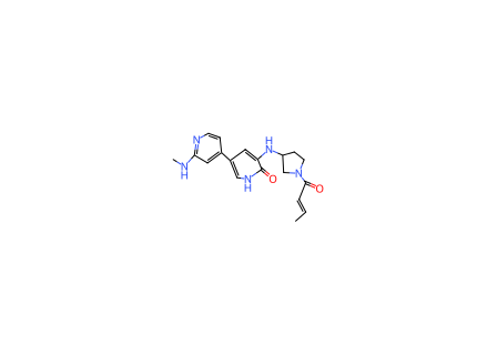 C/C=C/C(=O)N1CCC(Nc2cc(-c3ccnc(NC)c3)c[nH]c2=O)C1